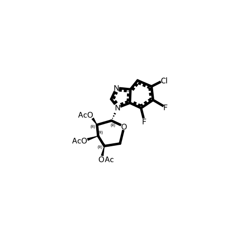 CC(=O)O[C@@H]1[C@H](OC(C)=O)[C@H](OC(C)=O)CO[C@H]1n1cnc2cc(Cl)c(F)c(F)c21